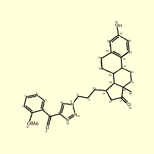 COc1ccccc1C(=O)c1cn(CCCC2CC(=O)C3(C)CCC4c5ccc(O)cc5CCC4C23)nn1